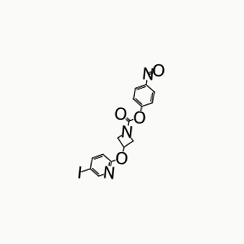 O=Nc1ccc(OC(=O)N2CC(Oc3ccc(I)cn3)C2)cc1